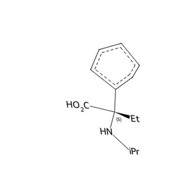 CC[C@@](NC(C)C)(C(=O)O)c1ccccc1